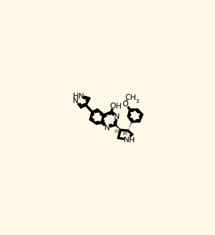 COc1cccc([C@@H]2CNC[C@H]2c2nc(O)c3cc(-c4cn[nH]c4)ccc3n2)c1